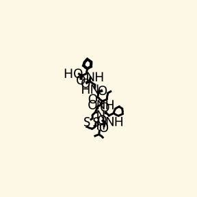 CCCC(NC(=O)C(CC1SCCCS1)NC(=O)C(NC(=O)OCC(C)C)C1CCCCC1)C(=O)C(=O)NCC(=O)NC(C(=O)O)c1ccccc1